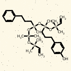 C=C[Si](C)(C)O[Si](C)(C)O[Si](C)(CCCc1ccccc1)O[Si](C)(CCCc1ccc(O)cc1)O[Si](C)(C)C=C